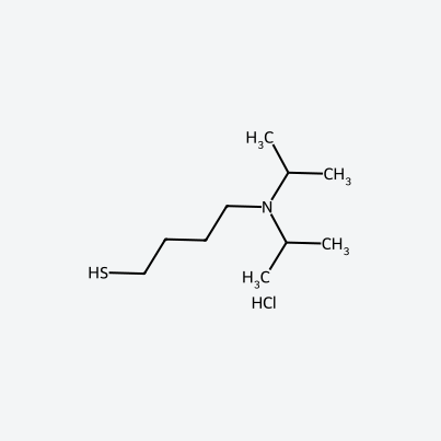 CC(C)N(CCCCS)C(C)C.Cl